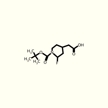 CC(C)(C)OC(=O)N1CCC(CC(=O)O)CC1F